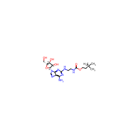 C[Si](C)(C)CCOC(=O)NCCNc1nc(N)c2ncn([C@@H]3O[C@H](CO)[C@@H](O)[C@H]3O)c2n1